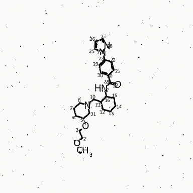 COCCO[C@@H]1CCCN(CC2CCCCC2NC(=O)c2ccc(-n3cccn3)cc2)C1